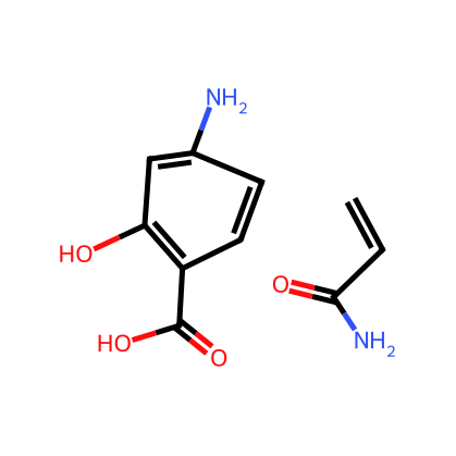 C=CC(N)=O.Nc1ccc(C(=O)O)c(O)c1